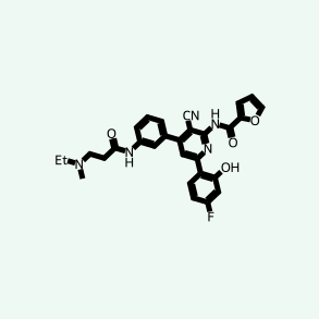 CCN(C)CCC(=O)Nc1cccc(-c2cc(-c3ccc(F)cc3O)nc(NC(=O)c3ccco3)c2C#N)c1